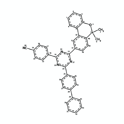 CC1(C)Oc2ccccc2-c2cc(-c3nc(-c4ccc(C#N)cc4)nc(-c4ccc(-c5ccccc5)cc4)n3)ccc21